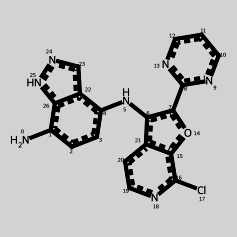 Nc1ccc(Nc2c(-c3ncccn3)oc3c(Cl)nccc23)c2cn[nH]c12